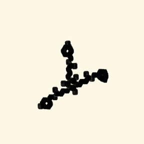 O=C(CCCn1c(=O)n(CCCC(=O)OCC2CCC3OC3C2)c(=O)n(CCCC(=O)OCC2CCC3CC2O3)c1=O)OCC1CCC2OC2C1